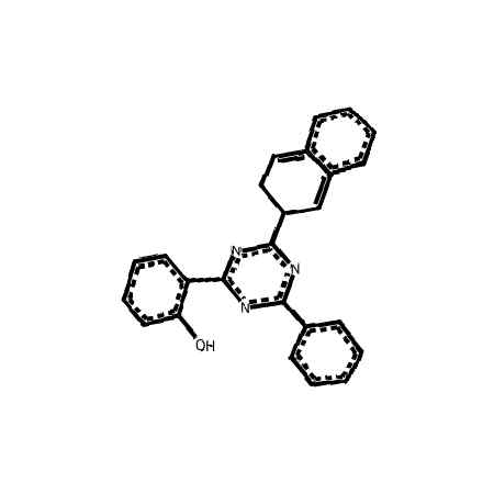 Oc1ccccc1-c1nc(-c2ccccc2)nc(C2C=c3ccccc3=CC2)n1